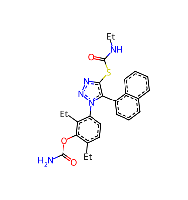 CCNC(=O)Sc1nnn(-c2ccc(CC)c(OC(N)=O)c2CC)c1-c1cccc2ccccc12